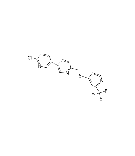 FC(F)(F)c1cc(SCc2ccc(-c3ccc(Cl)nc3)cn2)ccn1